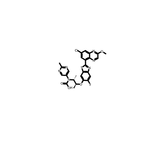 COc1cnc2c(-c3nc4cc(F)c(O[C@@H](C)[C@@H](C)N(C(=O)O)c5cnc(C)nc5)cc4s3)cc(Cl)cc2n1